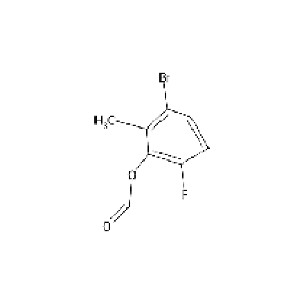 Cc1c(Br)ccc(F)c1OC=O